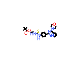 CC(C)(C)C(=O)OCCNC(=S)Nc1ccc(-c2nc(N3CCOCC3)c3cccn3n2)cc1